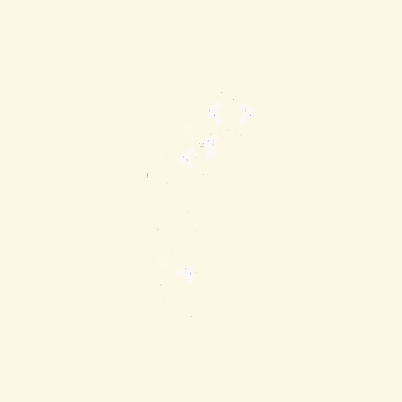 Cc1ccc(Oc2cccc(/C=C3\CCN(C(=O)Nc4cnc(C)cn4)CC3C)c2)nc1